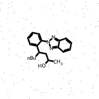 CCCCC(CC(C)O)c1ccccc1-n1nc2ccccc2n1